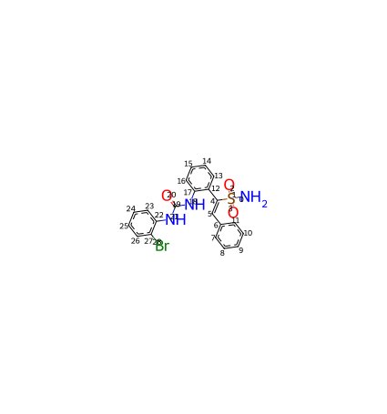 NS(=O)(=O)C(=Cc1ccccc1)c1ccccc1NC(=O)Nc1ccccc1Br